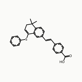 CC1(C)CC=C(Sc2ccccc2)c2cc(/C=C/c3ccc(C(=O)O)cc3)ccc21